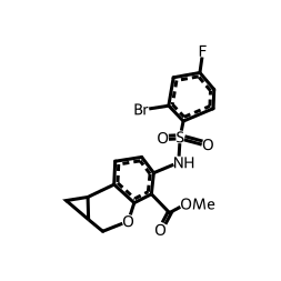 COC(=O)c1c(NS(=O)(=O)c2ccc(F)cc2Br)ccc2c1OCC1CC21